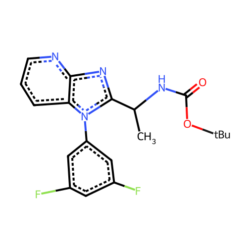 CC(NC(=O)OC(C)(C)C)c1nc2ncccc2n1-c1cc(F)cc(F)c1